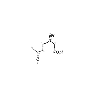 CCCN(CCC(=O)I)CC(=O)O